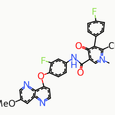 COc1cnc2c(Oc3ccc(NC(=O)c4cn(C)c(C#N)c(-c5ccc(F)cc5)c4=O)cc3F)ccnc2c1